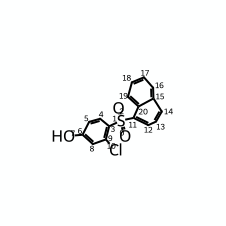 O=S(=O)(c1ccc(O)cc1Cl)c1cccc2ccccc12